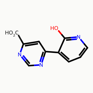 O=C(O)c1cc(-c2cccnc2O)ncn1